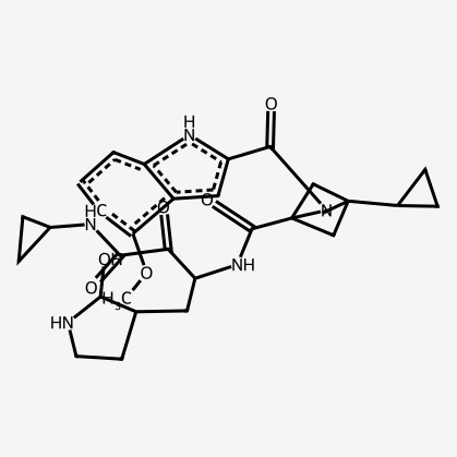 COc1cccc2[nH]c(C(=O)N3CC4(C5CC5)CC3(C(=O)NC(CC3CCNC3O)C(=O)C(=O)NC3CC3)C4)cc12